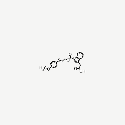 COc1ccc(SCCOC(=O)n2cc(CC(=O)O)c3ccccc32)cc1